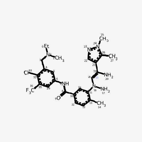 CCN(C)Cc1cc(NC(=O)c2ccc(C)c(N(N)/C=C(\N)c3cnn(C)c3C)c2)cc(C(F)(F)F)c1Cl